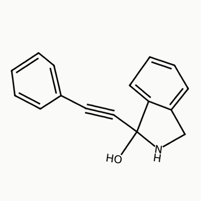 OC1(C#Cc2ccccc2)NCc2ccccc21